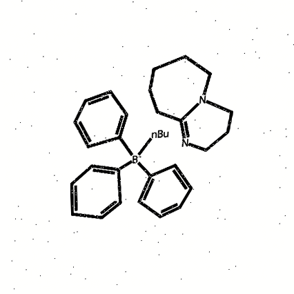 C1CCC2=NCCCN2CC1.CCCC[B-](c1ccccc1)(c1ccccc1)c1ccccc1